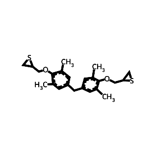 Cc1cc(Cc2cc(C)c(OCC3CS3)c(C)c2)cc(C)c1OCC1CS1